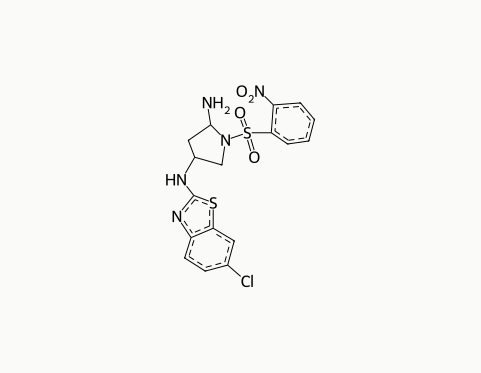 NC1CC(Nc2nc3ccc(Cl)cc3s2)CN1S(=O)(=O)c1ccccc1[N+](=O)[O-]